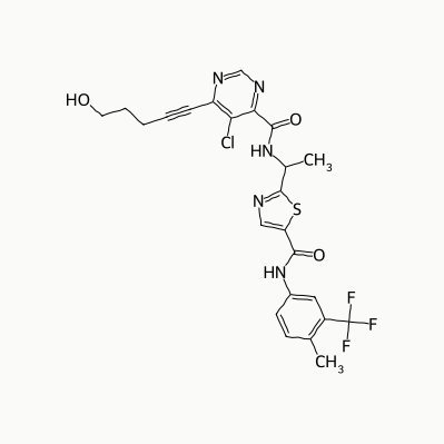 Cc1ccc(NC(=O)c2cnc(C(C)NC(=O)c3ncnc(C#CCCCO)c3Cl)s2)cc1C(F)(F)F